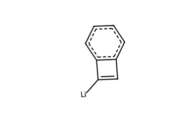 [Li][C]1=Cc2ccccc21